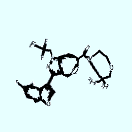 [2H]C1([2H])COCCN(C(=O)c2cc3c(cn2)c(-c2coc4ccc(F)cc24)nn3CC(F)(F)F)C1